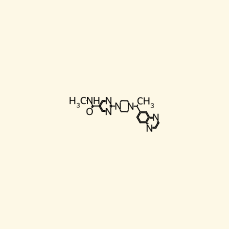 CNC(=O)c1cnc(N2CCN(C(C)c3ccc4nccnc4c3)CC2)nc1